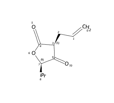 C=CC[C@@H]1C(=O)O[C@H](C(C)C)C1=O